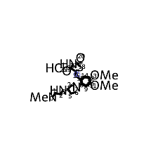 CNCCNC1CCN(c2cc(OC)c(OC)cc2/C=C2\SC(=O)NC2=O)C1.Cl